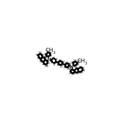 Cc1ccc(N(C2=CC=C(c3ccc(-c4ccc(N(c5ccc(C)cc5)c5cccc6cc7ccccc7cc56)cc4)cc3)CC2)c2cccc3cc4ccccc4cc23)cc1